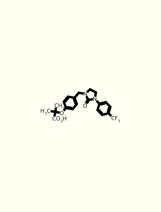 CC(C)(Oc1ccc(CN2CCN(c3ccc(C(F)(F)F)cc3)C2=O)cc1)C(=O)O